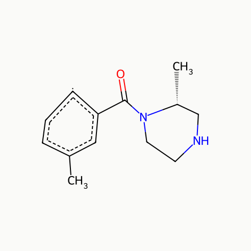 Cc1cc[c]c(C(=O)N2CCNC[C@H]2C)c1